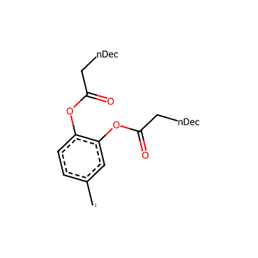 [CH]c1ccc(OC(=O)CCCCCCCCCCC)c(OC(=O)CCCCCCCCCCC)c1